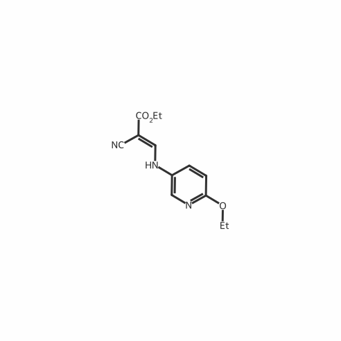 CCOC(=O)C(C#N)=CNc1ccc(OCC)nc1